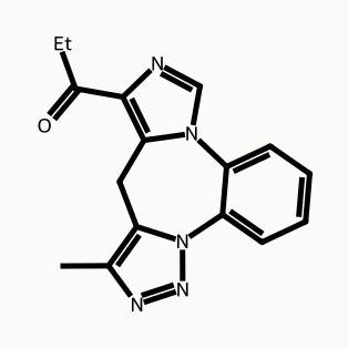 CCC(=O)c1ncn2c1Cc1c(C)nnn1-c1ccccc1-2